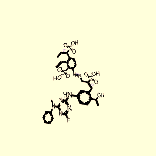 C=Cc1c(/C(=C\C)S(=O)(=O)O)ccc(/N=N/C/C(=C\c2cc(Nc3nc(F)nc(N(C)c4ccccc4)n3)ccc2C(=C)O)S(=O)(=O)O)c1S(=O)(=O)O